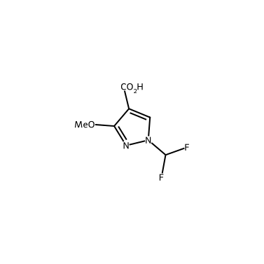 COc1nn(C(F)F)cc1C(=O)O